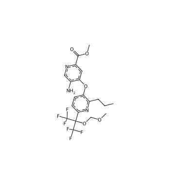 CCCc1nc(C(OCOC)(C(F)(F)F)C(F)(F)F)ccc1Oc1cc(C(=O)OC)ncc1N